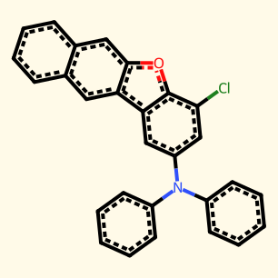 Clc1cc(N(c2ccccc2)c2ccccc2)cc2c1oc1cc3ccccc3cc12